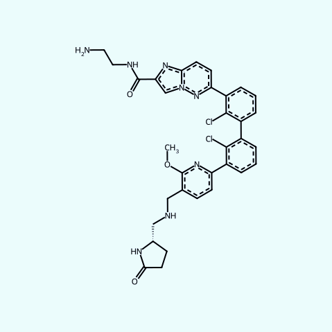 COc1nc(-c2cccc(-c3cccc(-c4ccc5nc(C(=O)NCCN)cn5n4)c3Cl)c2Cl)ccc1CNC[C@@H]1CCC(=O)N1